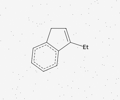 CCC1=CCc2ccccc21